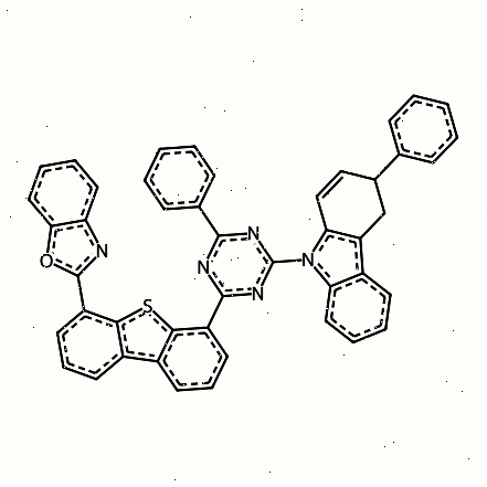 C1=CC(c2ccccc2)Cc2c1n(-c1nc(-c3ccccc3)nc(-c3cccc4c3sc3c(-c5nc6ccccc6o5)cccc34)n1)c1ccccc21